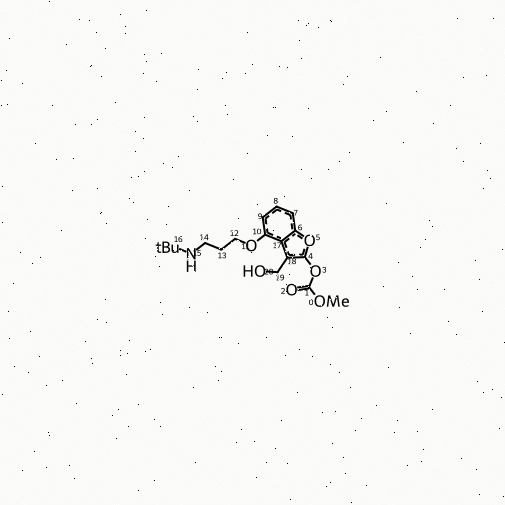 COC(=O)Oc1oc2cccc(OCCCNC(C)(C)C)c2c1CO